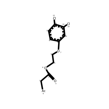 CC(=O)CC(=O)OCCOc1ccc(Cl)c(Cl)c1